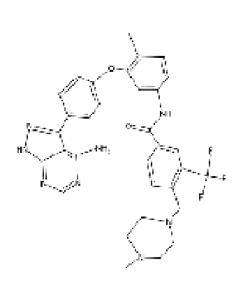 Cc1ccc(NC(=O)c2ccc(CN3CCN(C)CC3)c(C(F)(F)F)c2)cc1Oc1ccc(-c2n[nH]c3ncnc(N)c23)cc1